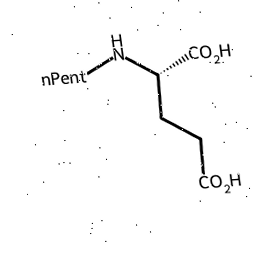 CCCCCN[C@@H](CCC(=O)O)C(=O)O